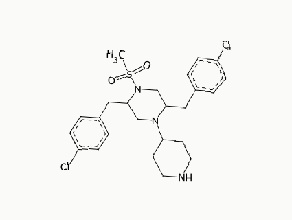 CS(=O)(=O)N1CC(Cc2ccc(Cl)cc2)N(C2CCNCC2)CC1Cc1ccc(Cl)cc1